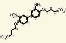 Nc1cc(-c2ccc(OCCCC(=O)O)c(N)c2)ccc1OCCCC(=O)O